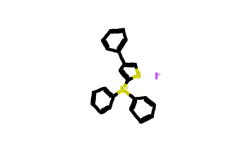 [I-].c1ccc(-c2csc([S+](c3ccccc3)c3ccccc3)c2)cc1